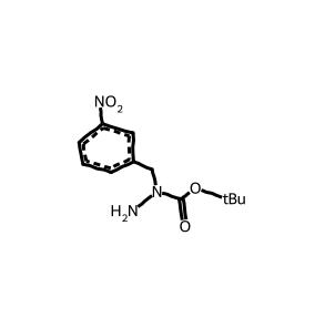 CC(C)(C)OC(=O)N(N)Cc1cccc([N+](=O)[O-])c1